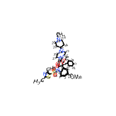 COc1ccc2c(c1)C(OC(=O)N1CCN(C3CCN(C)CC3)CC1)(c1ccccc1C)C(=O)N2S(=O)(=O)c1sc(C)nc1C